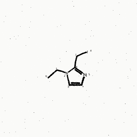 CCn1ccnc1CI